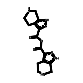 O=C(OC(=O)c1n[nH]c2c1CCNC2)c1n[nH]c2c1CCNC2